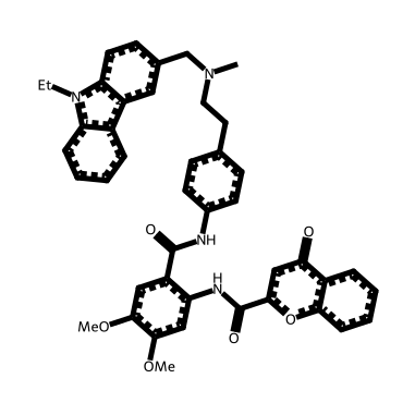 CCn1c2ccccc2c2cc(CN(C)CCc3ccc(NC(=O)c4cc(OC)c(OC)cc4NC(=O)c4cc(=O)c5ccccc5o4)cc3)ccc21